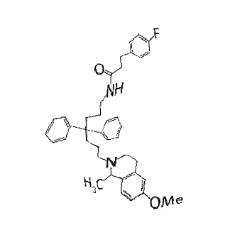 COc1ccc2c(c1)CCN(CCCC(CCCNC(=O)CCc1ccc(F)cc1)(c1ccccc1)c1ccccc1)C2C